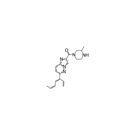 C=C/C(=C\C=C/C)c1ccc2nc(C(=O)N3CCNC(C)C3)cn2n1